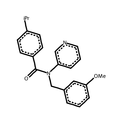 COc1cccc(CN(C(=O)c2ccc(C(C)C)cc2)c2cccnc2)c1